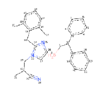 BCC(c1ccccc1)c1ccccc1.Cc1cccc(C)c1Cc1nccn1CC(C)C#N